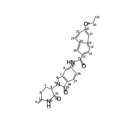 C=C1CCC(N2Cc3cc(NC(=O)c4ccc5cc(OCC)ccc5c4)ccc3C2=O)C(=O)N1